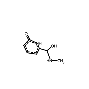 CNC(O)c1cccc(=O)[nH]1